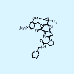 COc1ccc(Cn2c(C3(C(F)(F)F)CC3)nc3sc(N4CCCC4C(=O)NCc4ccccc4)nc3c2=O)c(OC)c1